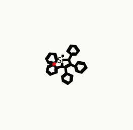 C[Si]1(c2ccccc2)C(c2ccccc2)C(c2ccccc2)=C(c2ccccc2)C1c1ccccc1